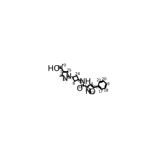 C[C@H](O)c1cnn([C@H]2C[C@H](NC(=O)c3cc(-c4ccccc4)on3)C2)c1